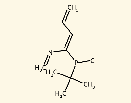 C=C/C=C(\N=C)P(Cl)C(C)(C)C